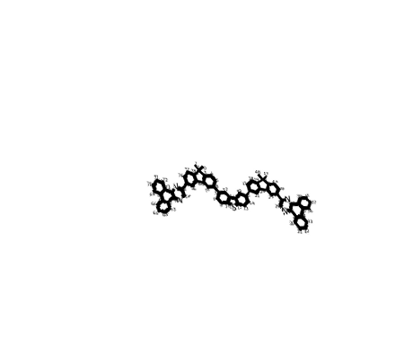 CC1(C)c2ccc(-c3ccc4sc5ccc(-c6ccc7c(c6)-c6cc(-c8cnc9c%10ccccc%10c%10ccccc%10c9n8)ccc6C7(C)C)cc5c4c3)cc2-c2cc(-c3cnc4c5ccccc5c5ccccc5c4n3)ccc21